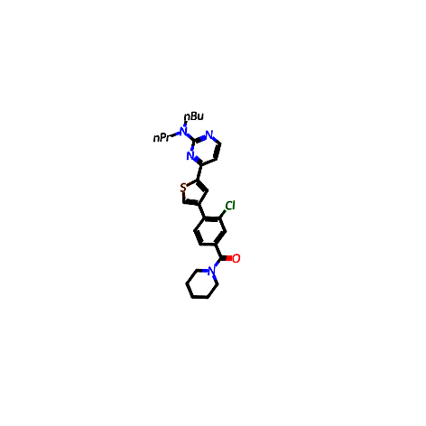 CCCCN(CCC)c1nccc(-c2cc(-c3ccc(C(=O)N4CCCCC4)cc3Cl)cs2)n1